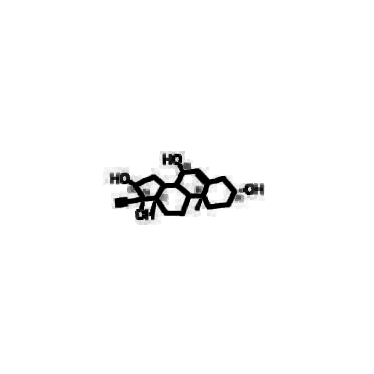 C#C[C@]1(O)[C@@H](O)CC2C3C(CC[C@@]21C)[C@@]1(C)CC[C@@H](O)CC1=C[C@@H]3O